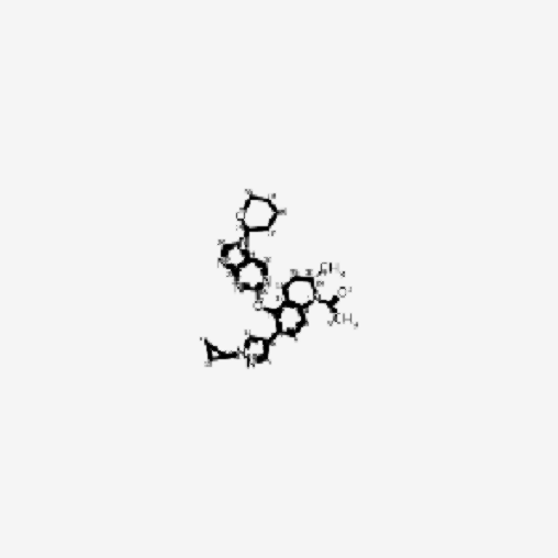 CC(=O)N1c2ccc(-c3cnn(C4CC4)c3)c(Oc3ncc4c(ncn4C4CCCCO4)n3)c2CC[C@@H]1C